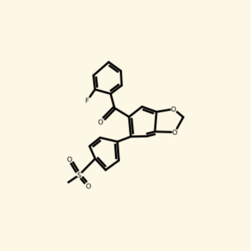 CS(=O)(=O)c1ccc(-c2cc3c(cc2C(=O)c2ccccc2F)OCO3)cc1